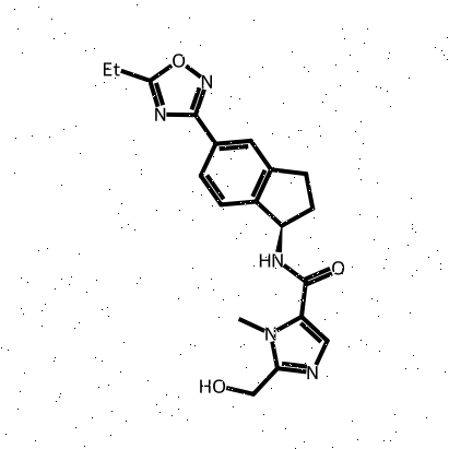 CCc1nc(-c2ccc3c(c2)CC[C@H]3NC(=O)c2cnc(CO)n2C)no1